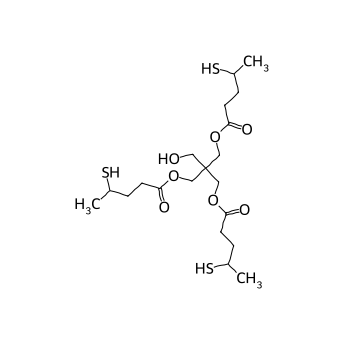 CC(S)CCC(=O)OCC(CO)(COC(=O)CCC(C)S)COC(=O)CCC(C)S